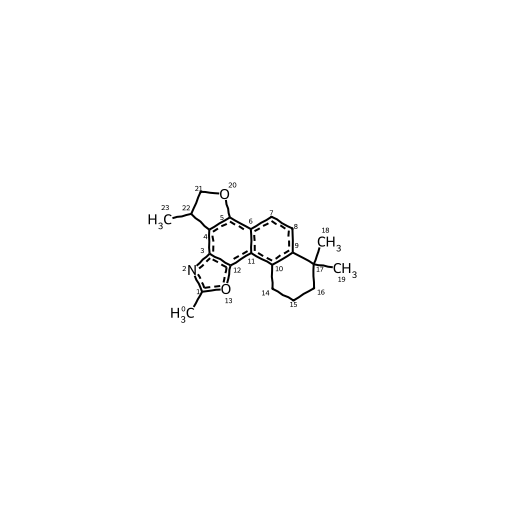 Cc1nc2c3c(c4ccc5c(c4c2o1)CCCC5(C)C)OCC3C